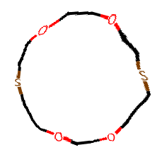 C1COCCSCCOCCOCCSCCO1